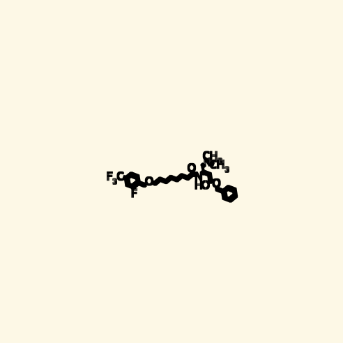 CN(C)C[C@@H](CC(=O)OCc1ccccc1)NC(=O)CCCCCCCOCc1ccc(C(F)(F)F)cc1F